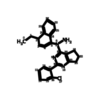 CCC1C=C=C(N(N)c2nc(-c3ccccc3Cl)nc3c2CCC3)c2ccccc21